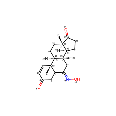 C[C@]12C=CC(=O)CC1C(=NO)C[C@@H]1[C@@H]2CC[C@]2(C)C(=O)CC[C@@H]12